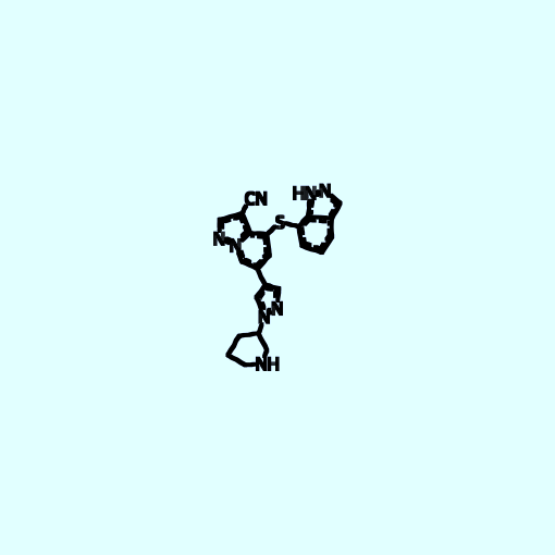 N#Cc1cnn2cc(-c3cnn(C4CCCNC4)c3)cc(Sc3cccc4cn[nH]c34)c12